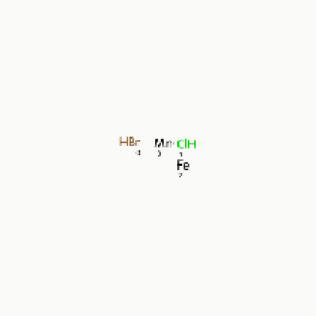 Br.Cl.[Fe].[Mn]